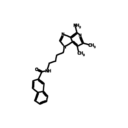 Cc1nc(N)c2ncn(CCCCNC(=O)c3ccc4ccccc4c3)c2c1C